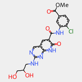 COC(=O)c1ccc(Cl)c(NC(=O)c2cc3cnc(NCC(O)CO)nc3[nH]c2=O)c1